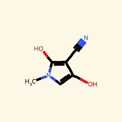 Cn1cc(O)c(C#N)c1O